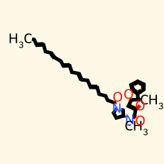 CCC=CCC=CCC=CCC=CCC=CCCCC(=O)N1CC[C@H](N(C)C(=O)C2=CC(=O)C(C)(c3ccccc3)O2)C1